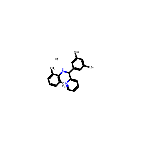 Cc1cccc(C)c1NC(c1cc(C(C)(C)C)cc(C(C)(C)C)c1)c1ccccn1.[Hf]